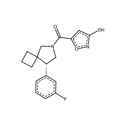 O=C(c1cc(O)no1)N1C[C@H](c2cccc(F)c2)C2(CCC2)C1